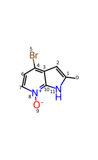 Cc1cc2c(Br)cc[n+]([O-])c2[nH]1